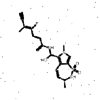 C#C/C(C)=C(\F)CCC(=C)NC(O)c1c2c(cn1C)S(=O)(=O)N[C@@H](C)C=C2